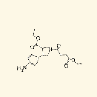 CCOC(=O)CCC(=O)N1CC(C(=O)OCC)C(c2ccc(N)cc2)C1